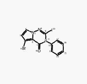 O=c1c2c(Br)ccn2nc(I)n1-c1ccccc1